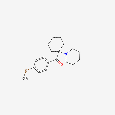 CSc1ccc(C(=O)C2(N3CCCCC3)CCCCC2)cc1